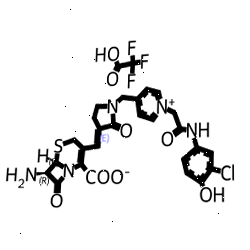 N[C@@H]1C(=O)N2C(C(=O)[O-])=C(/C=C3\CCN(Cc4cc[n+](CC(=O)Nc5ccc(O)c(Cl)c5)cc4)C3=O)CS[C@H]12.O=C(O)C(F)(F)F